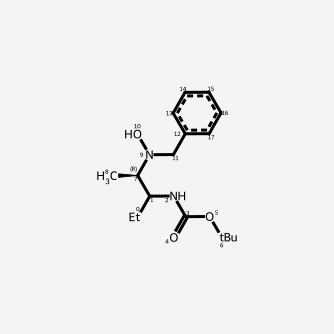 CCC(NC(=O)OC(C)(C)C)[C@@H](C)N(O)Cc1ccccc1